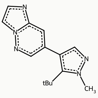 Cn1ncc(-c2cnn3ccnc3c2)c1C(C)(C)C